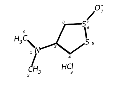 CN(C)C1CS[S+]([O-])C1.Cl